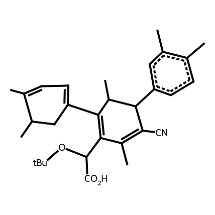 CC1=CC=C(C2=C(C(OC(C)(C)C)C(=O)O)C(C)=C(C#N)C(c3ccc(C)c(C)c3)C2C)CC1C